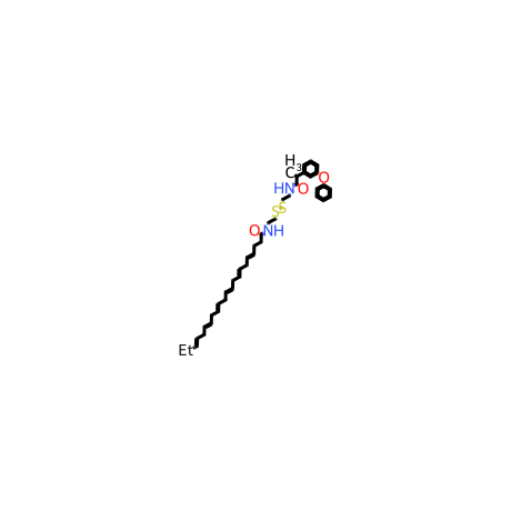 CCC=CCC=CCC=CCC=CCC=CCC=CCCC(=O)NCCSSCCNC(=O)C(C)c1cccc(Oc2ccccc2)c1